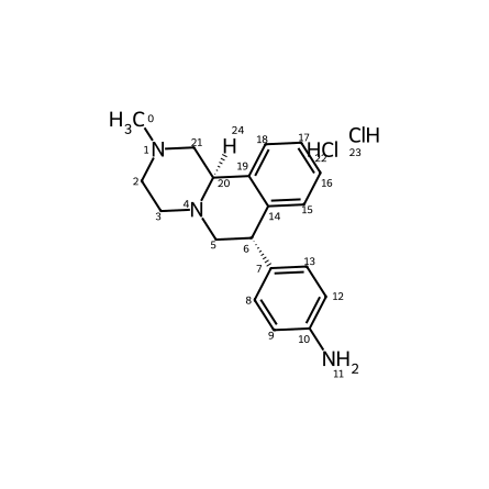 CN1CCN2C[C@@H](c3ccc(N)cc3)c3ccccc3[C@@H]2C1.Cl.Cl